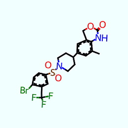 Cc1cc(C2CCN(S(=O)(=O)c3ccc(Br)c(C(F)(F)F)c3)CC2)cc2c1NC(=O)OC2